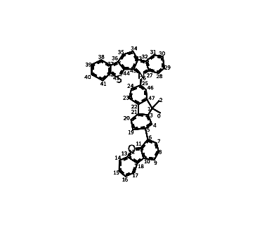 CC1(C)c2cc(-c3cccc4c3oc3ccccc34)ccc2-c2ccc(-n3c4ccccc4c4ccc5c6ccccc6sc5c43)cc21